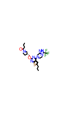 CCCC(=O)N1CC[C@@H](COc2nc(N3CCn4c(nnc4C(F)(F)F)C3)c3cc(CCC)sc3n2)C1